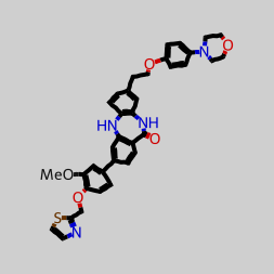 COc1cc(-c2ccc3c(c2)Nc2ccc(CCOc4ccc(N5CCOCC5)cc4)cc2NC3=O)ccc1OCc1nccs1